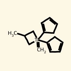 [CH2]=[Ti]1([C]2=CC=CC2)([C]2=CC=CC2)[CH2]C(C)[CH2]1